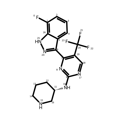 Fc1cccc2c(-c3nc(N[C@H]4CCCNC4)ncc3C(F)(F)F)n[nH]c12